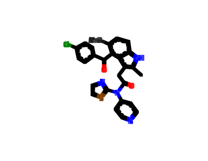 COc1ccc2[nH]c(C)c(CC(=O)N(c3ccncc3)c3nccs3)c2c1C(=O)c1ccc(Cl)cc1